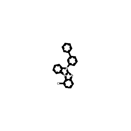 Clc1cccc2nc3n(-c4cccc(-c5ccccc5)c4)c4ccccc4n3c12